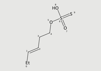 CCC=CCCOS(=O)(O)=S